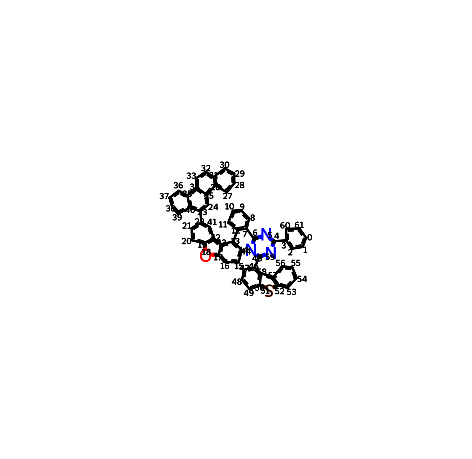 c1ccc(-c2nc(-c3ccccc3-c3cccc4oc5ccc(-c6cc7c8ccccc8ccc7c7ccccc67)cc5c34)nc(-c3cccc4sc5ccccc5c34)n2)cc1